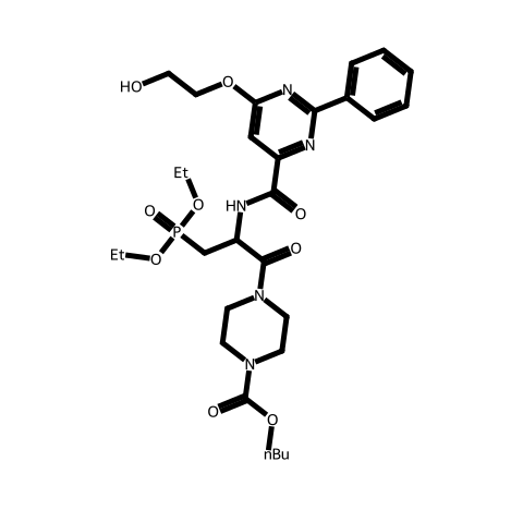 CCCCOC(=O)N1CCN(C(=O)C(CP(=O)(OCC)OCC)NC(=O)c2cc(OCCO)nc(-c3ccccc3)n2)CC1